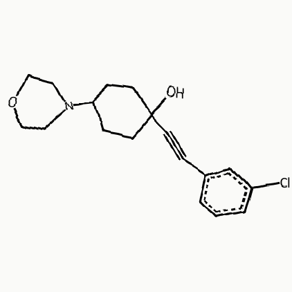 OC1(C#Cc2cccc(Cl)c2)CCC(N2CCOCC2)CC1